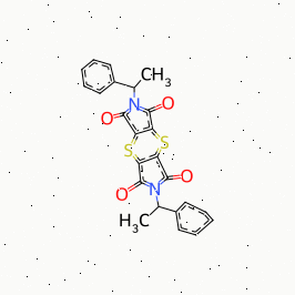 CC(c1ccccc1)n1c(=O)c2sc3c(=O)n(C(C)c4ccccc4)c(=O)c3sc2c1=O